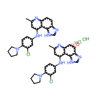 Cc1cc(Nc2ccc(N3CCCC3)c(Cl)c2)c2c(ccc3nc[nH]c32)n1.Cc1cc(Nc2ccc(N3CCCC3)c(Cl)c2)c2c(ccc3nc[nH]c32)n1.Cl.Cl.O